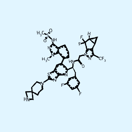 Cn1nc(NS(C)(=O)=O)c2cccc(-c3cc4sc(N5CCC6(CC5)CNC6)nc4nc3[C@H](Cc3cc(F)cc(F)c3)NC(=O)Cn3nc(C(F)(F)F)c4c3C(F)(F)[C@@H]3CC43)c21